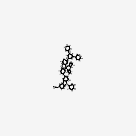 N#Cc1ccc2c(c1)c1cc(-c3ccc4c(c3)C3(c5cc(-c6cc(-c7cccnc7)cc(-c7cccnc7)c6)ccc5O4)c4ccccc4-c4ccccc43)ccc1n2-c1ccccc1